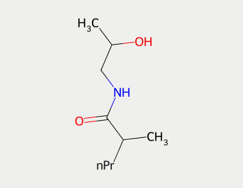 CCCC(C)C(=O)NCC(C)O